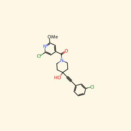 COc1cc(C(=O)N2CCC(O)(C#Cc3cccc(Cl)c3)CC2)cc(Cl)n1